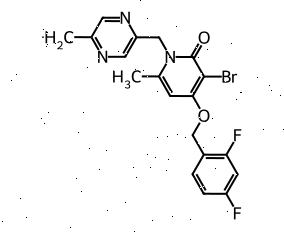 [CH2]c1cnc(Cn2c(C)cc(OCc3ccc(F)cc3F)c(Br)c2=O)cn1